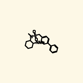 CNC1CCCCC1N(C)S(=O)(=O)Cc1ccc(-c2ccccc2)cc1